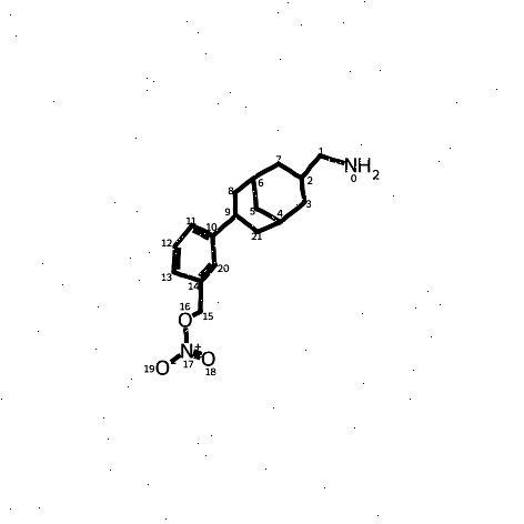 NCC1CC2CC(C1)CC(c1cccc(CO[N+](=O)[O-])c1)C2